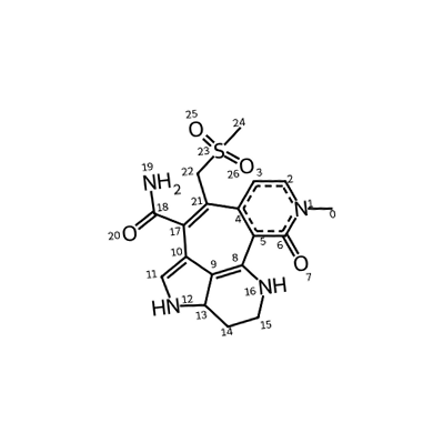 Cn1ccc2c(c1=O)C1=C3C(=CNC3CCN1)C(C(N)=O)=C2CS(C)(=O)=O